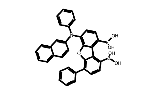 OB(O)c1ccc(-c2ccccc2)c2oc3c(N(c4ccccc4)c4ccc5ccccc5c4)ccc(B(O)O)c3c12